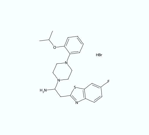 Br.CC(C)Oc1ccccc1N1CCN(C(N)Cc2nc3ccc(F)cc3s2)CC1